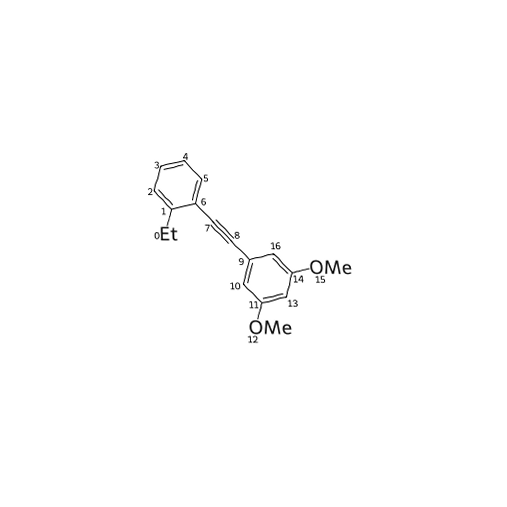 CCc1ccccc1C#Cc1cc(OC)cc(OC)c1